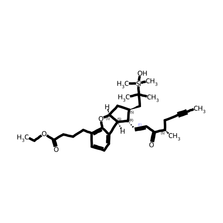 CC#CC[C@H](C)C(=O)/C=C/[C@H]1[C@H](CC(C)(C)[Si](C)(C)O)C[C@@H]2Oc3c(CCCC(=O)OCC)cccc3[C@H]12